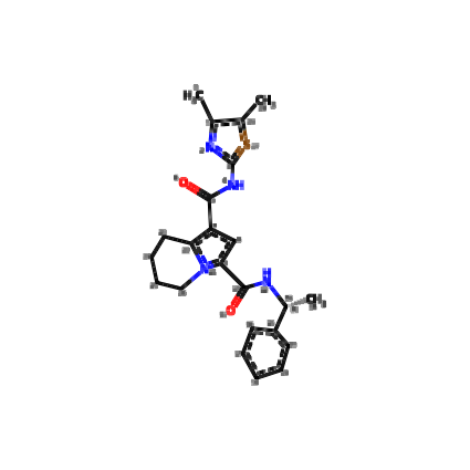 Cc1nc(NC(=O)c2cc(C(=O)N[C@H](C)c3ccccc3)n3c2CCCC3)sc1C